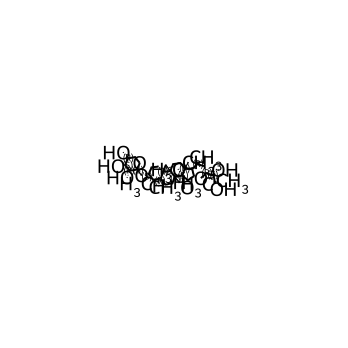 C[C@@H]1C[C@H]([C@H](O)C(C)(C)O)OC2C(=O)[C@@]3(C)[C@@H]4CC[C@H]5C(C)(C)[C@@H](O[C@@H]6OC[C@@H](O)[C@H](O)[C@H]6O)CC[C@@]56C[C@@]46CC[C@]3(C)C21